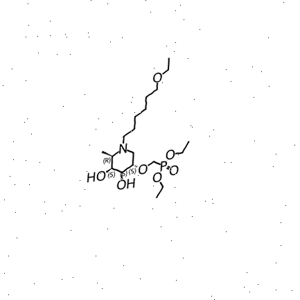 CCOCCCCCCN1C[C@H](OCP(=O)(OCC)OCC)[C@@H](O)[C@@H](O)[C@H]1C